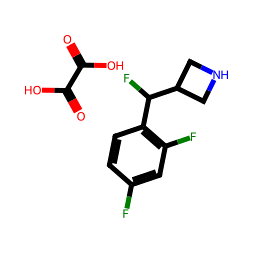 Fc1ccc(C(F)C2CNC2)c(F)c1.O=C(O)C(=O)O